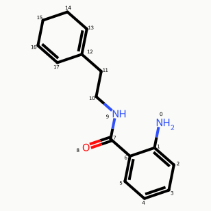 Nc1ccccc1C(=O)NCCC1=CCCC=C1